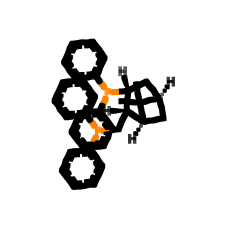 CC1(C)[C@H]2C[C@@H](P(c3ccccc3)c3ccccc3)[C@@H](CP(c3ccccc3)c3ccccc3)[C@@H]1C2